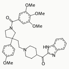 COc1ccc(C2(CCN3CCC(C(=O)c4nc5ccccc5[nH]4)CC3)CCN(C(=O)c3cc(OC)c(OC)c(OC)c3)C2)cc1